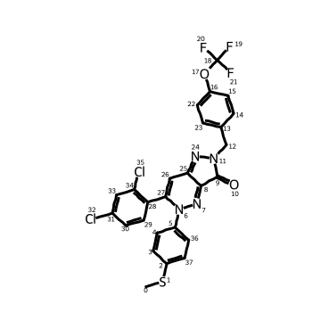 CSc1ccc(-n2nc3c(=O)n(Cc4ccc(OC(F)(F)F)cc4)nc-3cc2-c2ccc(Cl)cc2Cl)cc1